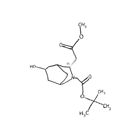 COC(=O)C[C@H]1C2CC(CC2O)N1C(=O)OC(C)(C)C